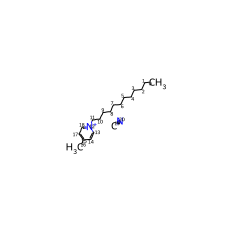 CCCCCCCCCCCC[n+]1ccc(C)cc1.[C-]#N